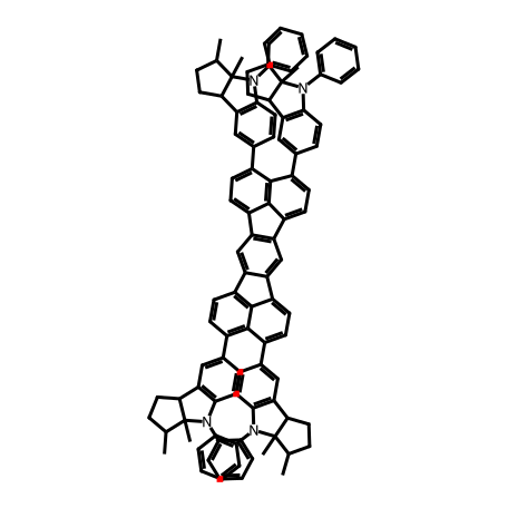 CC1CCC2c3cc(-c4ccc5c6cc7c(cc6c6ccc(-c8ccc9c(c8)C8CCC(C)C8(C)N9c8ccccc8)c4c56)c4ccc(-c5ccc6c(c5)C5CCC(C)C5(C)N6c5ccccc5)c5c(-c6ccc8c(c6)C6CCC(C)C6(C)N8c6ccccc6)ccc7c54)ccc3N(c3ccccc3)C12C